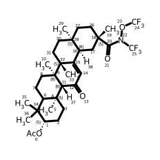 CC(=O)O[C@H]1CC[C@@]2(C)C(CC[C@]3(C)[C@@H]2C(=O)C=C2[C@@H]4C[C@@](C)(C(=O)N(OC(F)(F)F)C(F)(F)F)CC[C@]4(C)CC[C@]23C)C1(C)C